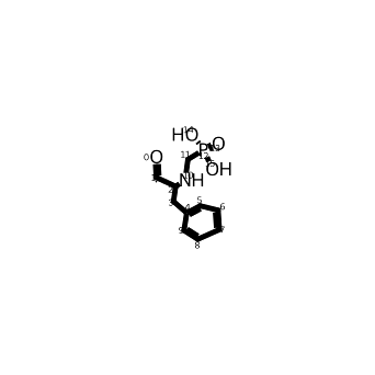 O=[C]C(Cc1ccccc1)NCP(=O)(O)O